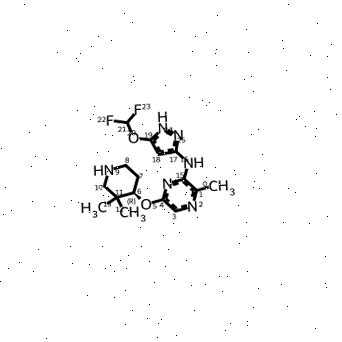 Cc1ncc(O[C@@H]2CCNCC2(C)C)nc1Nc1cc(OC(F)F)[nH]n1